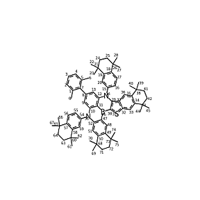 Cc1cccc(C)c1-c1cc2c3c(c1)N(c1ccc4c(c1)C(C)(C)CCC4(C)C)c1c(sc4cc5c(cc14)C(C)(C)CCC5(C)C)B3c1cc3c(cc1N2c1ccc2c(c1)C(C)(C)CCC2(C)C)C(C)(C)CCC3(C)C